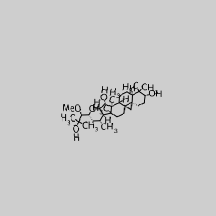 CO[C@@H]([C@H]1C[C@@H](C)[C@H]2[C@H](O1)[C@H](O)[C@@]1(C)[C@@H]3CC[C@H]4C(C)(C)[C@@H](O)CC[C@@]45C[C@@]35CC[C@]21C)C(C)(C)O